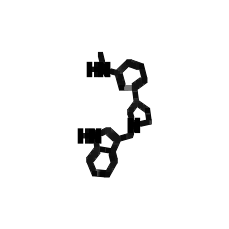 CNc1cccc(C2CCN(Cc3c[nH]c4ccccc34)C2)c1